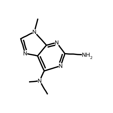 CN(C)c1nc(N)nc2c1ncn2C